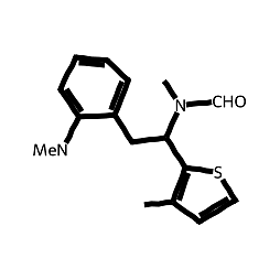 CNc1ccccc1CC(c1sccc1C)N(C)C=O